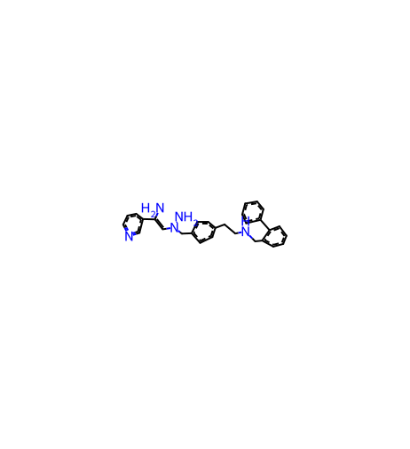 N/C(=C\N(N)Cc1ccc(CCNCc2ccccc2-c2ccccc2)cc1)c1cccnc1